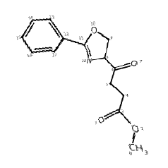 COC(=O)CCC(=O)C1COC(c2ccccc2)=N1